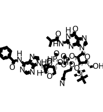 CC(C)C(=O)Nc1nc2c(ncn2[C@@H]2O[C@H](CO)[C@@H](O[Si](C)(C)C(C)(C)C)[C@H]2OP(=O)(OCCC#N)OC[C@@]23CO[C@@H]([C@H](n4cnc5c(NC(=O)c6ccccc6)ncnc54)O2)[C@@H]3O[PH](=O)O)c(=O)[nH]1